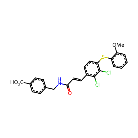 COc1ccccc1Sc1ccc(/C=C/C(=O)NCc2ccc(C(=O)O)cc2)c(Cl)c1Cl